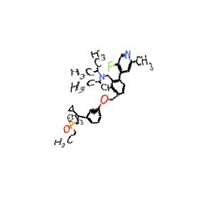 CC[P@@](C)(=O)C[C@H](c1cccc(OCc2ccc(-c3cc(C)ncc3F)c(CN(C(C)C)C(C)C)c2)c1)C1CC1